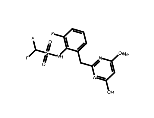 COc1cc(O)nc(Cc2cccc(F)c2NS(=O)(=O)C(F)F)n1